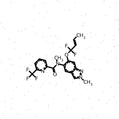 C/C=C/C(F)(F)Oc1cc2nn(C)cc2cc1N(C)C(=O)c1cccc(C(F)(F)F)n1